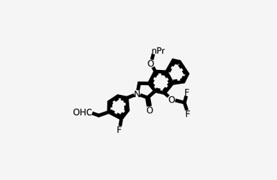 CCCOc1c2c(c(OC(F)F)c3ccccc13)C(=O)N(c1ccc(CC=O)c(F)c1)C2